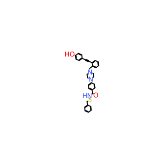 O=C(NSCc1ccccc1)c1ccc(N2CCN(Cc3ccccc3C#Cc3ccc(O)cc3)CC2)cc1